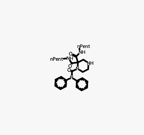 CCCCCNC(=O)C1(C(=O)NCCCCC)CNCCN1C(=O)N(c1ccccc1)c1ccccc1